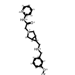 O=C(CN1CC2C(CNCc3cccc(OC(F)(F)F)c3)C2C1)Nc1ccccn1